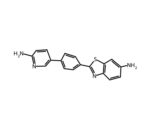 Nc1ccc2nc(-c3ccc(-c4ccc(N)nc4)cc3)sc2c1